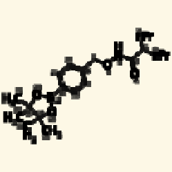 CCCC(CCC)C(=O)NOCc1ccc(B2OC(C)(C)C(C)(C)O2)cc1